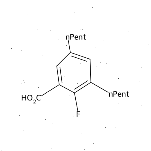 CCCCCc1cc(CCCCC)c(F)c(C(=O)O)c1